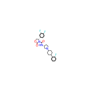 O=C(N[C@@H]1CCN(C2CCC(c3ccccc3F)CC2)C1)N1C(=O)OC[C@@H]1c1ccc(F)c(F)c1